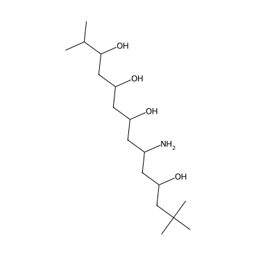 CC(C)C(O)CC(O)CC(O)CC(N)CC(O)CC(C)(C)C